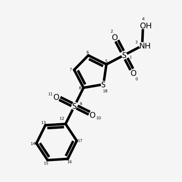 O=S(=O)(NO)c1ccc(S(=O)(=O)c2ccccc2)s1